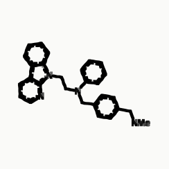 CNCc1ccc(CN(CCn2c3ccccc3c3cccnc32)c2ccccc2)cc1